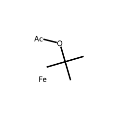 CC(=O)OC(C)(C)C.[Fe]